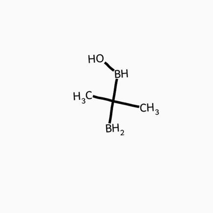 BC(C)(C)BO